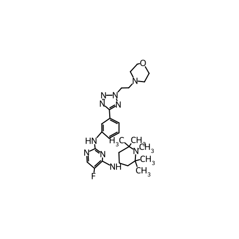 CN1C(C)(C)CC(Nc2nc(Nc3cccc(-c4nnn(CCN5CCOCC5)n4)c3)ncc2F)CC1(C)C